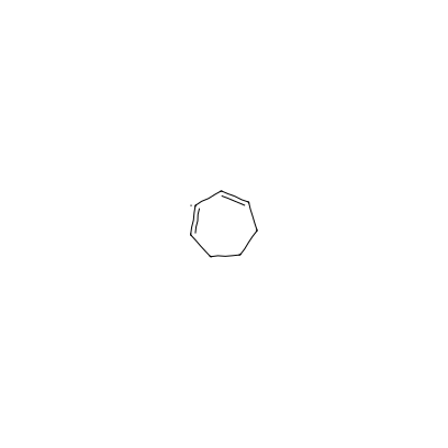 [C]1=CCCCC=C1